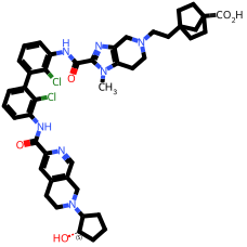 Cn1c(C(=O)Nc2cccc(-c3cccc(NC(=O)c4cc5c(cn4)CN(C4CCC[C@@H]4O)CC5)c3Cl)c2Cl)nc2c1CCN(CCC13CCC(C(=O)O)(CC1)C3)C2